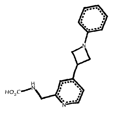 O=C(O)NCc1cc(C2CN(c3ccccc3)C2)ccn1